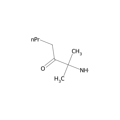 CCCCC(=O)C(C)(C)[NH]